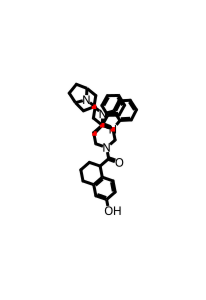 Cc1nc2ccccc2n1C1CC2CCC(C1)N2CCC1(c2ccccc2)CCN(C(=O)C2CCCc3cc(O)ccc32)CC1